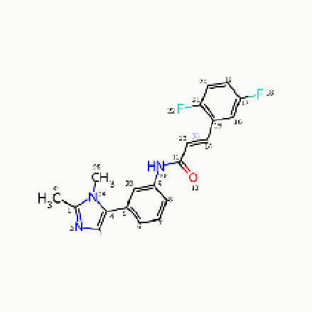 Cc1ncc(-c2cccc(NC(=O)/C=C/c3cc(F)ccc3F)c2)n1C